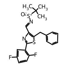 CC(C)(C)[S@@+]([O-])N=Cc1nc(-c2cc(F)ccc2F)sc1Cc1ccccc1